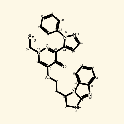 O=c1c(OCCC2CNc3nc4ccccc4n32)cn(CC(F)(F)F)nc1-c1ccnn1-c1ccccc1